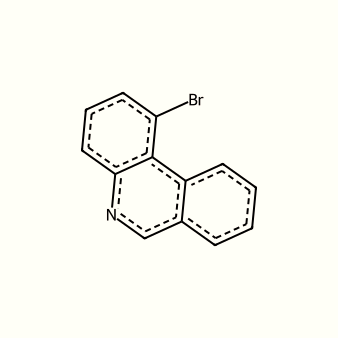 Brc1cccc2ncc3ccccc3c12